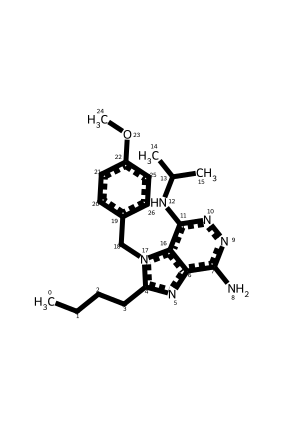 CCCCc1nc2c(N)nnc(NC(C)C)c2n1Cc1ccc(OC)cc1